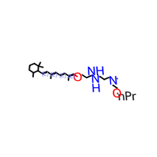 CCCOCCN(C)CCCNC(=N)CCO/C=C(C)/C=C/C=C(C)/C=C/C1C(C)CCCC1(C)C